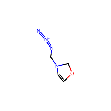 [N-]=[N+]=NCN1C=COC1